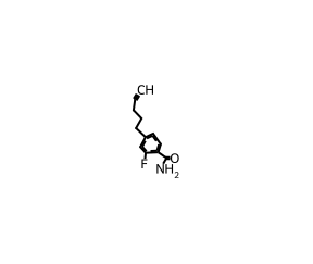 C#CCCCc1ccc(C(N)=O)c(F)c1